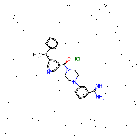 CC(c1ccccc1)c1cncc(C(=O)N2CCN(c3cccc(C(=N)N)c3)CC2)c1.Cl